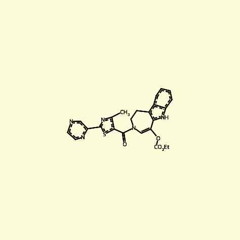 CCOC(=O)OC1=CN(C(=O)c2sc(-c3cnccn3)nc2C)CCc2c1[nH]c1ccccc21